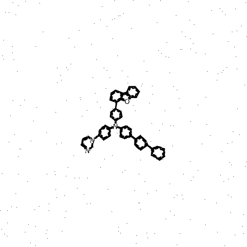 C1=CN(c2ccc(N(c3ccc(-c4ccc(-c5ccccc5)cc4)cc3)c3ccc(-c4cccc5c4oc4ccccc45)cc3)cc2)CN=C1